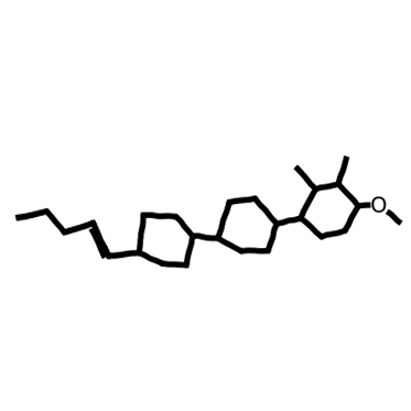 CCC/C=C/C1CCC(C2CCC(C3CCC(OC)C(C)C3C)CC2)CC1